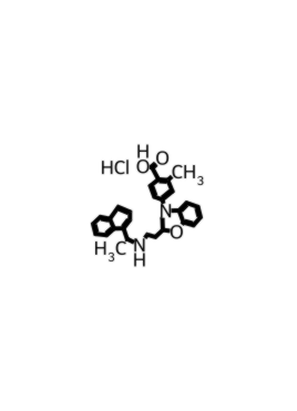 Cc1cc(N2CC(CCN[C@H](C)c3cccc4ccccc34)Oc3ccccc32)ccc1C(=O)O.Cl